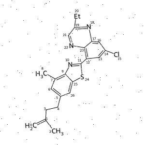 C=C(C)CCc1cc(C)c2nc(-c3cc(Cl)cc4nc(CC)cnc34)sc2c1